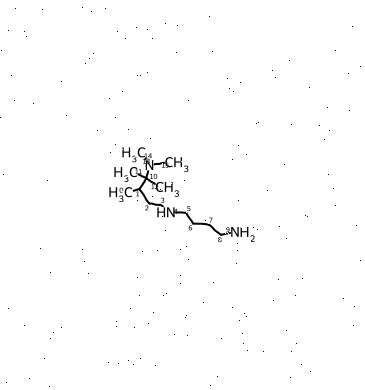 CC(CCNCCCCN)C(C)(C)N(C)C